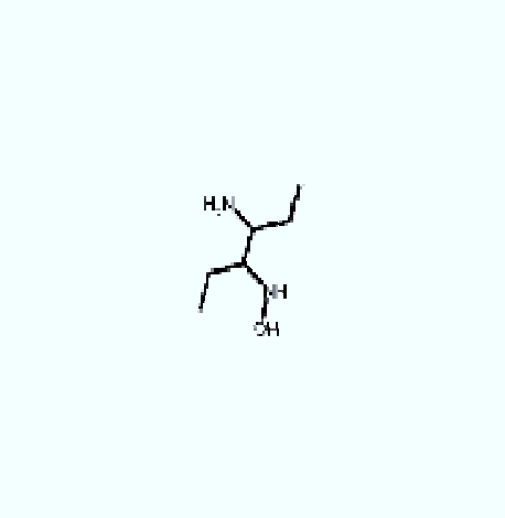 [CH2]CC(N)C(CC)NO